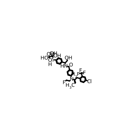 C/C=C(/Cc1ccc(Cl)cc1C(F)(F)P)N(CCF)c1ccc(C(=O)NC(CO)c2ccc(SC(O)(O)C(O)(O)O)cc2)cc1